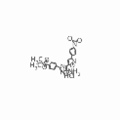 CC(C)S(=O)(=O)c1ccc(-c2cnc(N)c(-c3cc(-c4ccc(-n5c(=O)c5=O)cc4)no3)n2)cc1.Cl.Cl